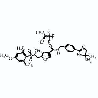 COc1cc(C)c(S(=O)(=O)N(C)Cc2cc(C(=O)NCc3ccc(C4=NCC(C)(C)N4)cc3)co2)c(C)c1.O=C(O)C(F)(F)F